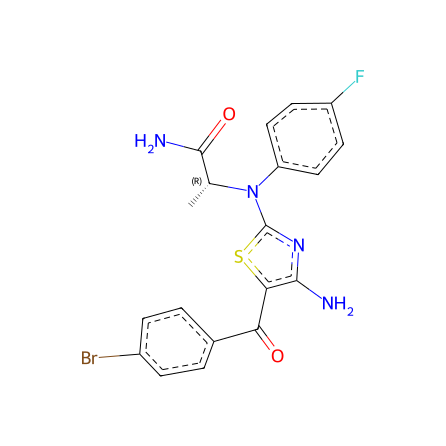 C[C@H](C(N)=O)N(c1ccc(F)cc1)c1nc(N)c(C(=O)c2ccc(Br)cc2)s1